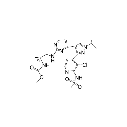 COC(=O)N[C@@H](C)CNc1nccc(-c2cn(C(C)C)nc2-c2ccnc(NS(C)(=O)=O)c2Cl)n1